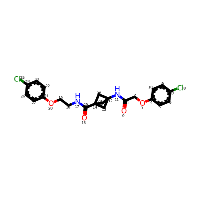 O=C(COc1ccc(Cl)cc1)NC12CC(C(=O)NCCOc3ccc(Cl)cc3)(C1)C2